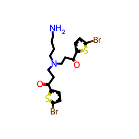 NCCCCN(CCC(=O)c1ccc(Br)s1)CCC(=O)c1ccc(Br)s1